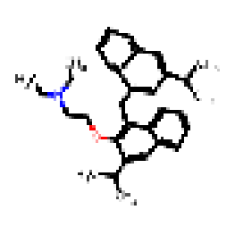 CCN(CC)CCOc1c(C(C)C)cc2ccccc2c1Cc1cc(C(C)C)cc2ccccc12